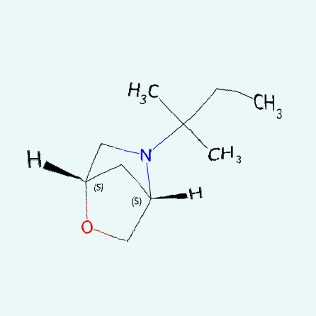 CCC(C)(C)N1C[C@@H]2C[C@H]1CO2